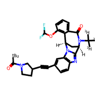 [2H]C([2H])([2H])N1C(=O)c2cccc(OC(F)F)c2[C@H]2C[C@@H]1c1nc3ccc(C#CC4CCN(C(=O)C(C)(C)C)C4)cc3n12